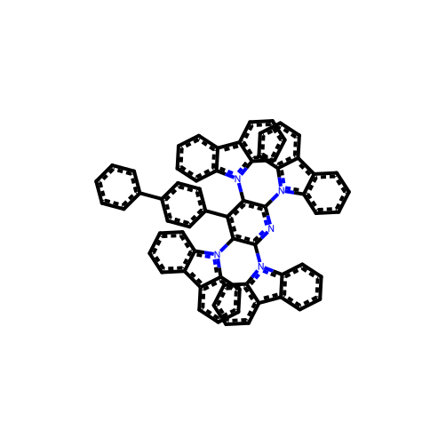 c1ccc(-c2ccc(-c3c(-n4c5ccccc5c5ccccc54)c(-n4c5ccccc5c5ccccc54)nc(-n4c5ccccc5c5ccccc54)c3-n3c4ccccc4c4ccccc43)cc2)cc1